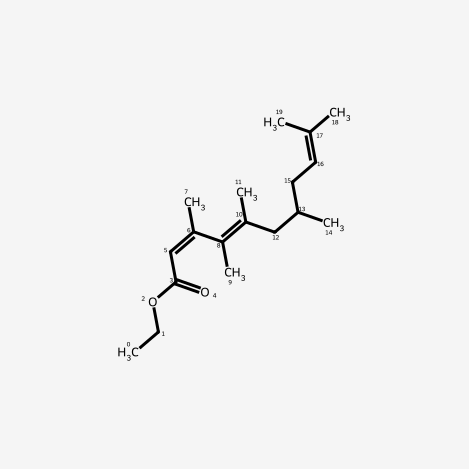 CCOC(=O)C=C(C)C(C)=C(C)CC(C)CC=C(C)C